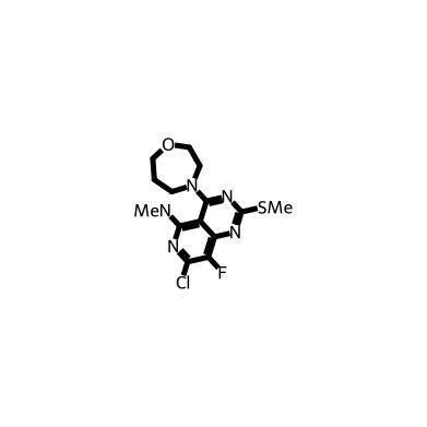 CNc1nc(Cl)c(F)c2nc(SC)nc(N3CCCOCC3)c12